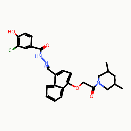 CC1CC(C)CN(C(=O)COc2ccc(/C=N/NC(=O)c3ccc(O)c(Cl)c3)c3ccccc23)C1